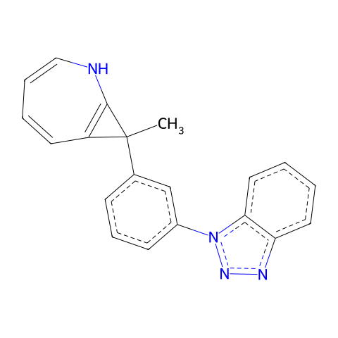 CC1(c2cccc(-n3nnc4ccccc43)c2)C2=C1NC=CC=C2